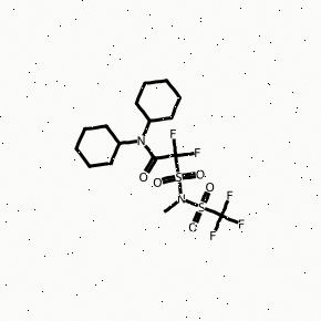 CN(S(=O)(=O)C(F)(F)F)S(=O)(=O)C(F)(F)C(=O)N(C1CCCCC1)C1CCCCC1